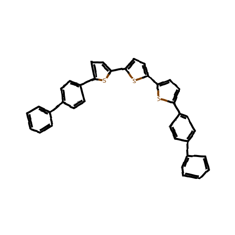 c1ccc(-c2ccc(-c3ccc(-c4ccc(-c5ccc(-c6ccc(-c7ccccc7)cc6)s5)s4)s3)cc2)cc1